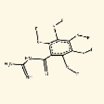 N=C(N)NC(=O)c1c(SF)c(SF)c(SF)c(SF)c1SF